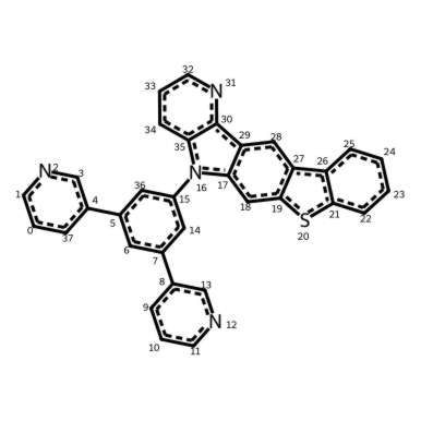 c1cncc(-c2cc(-c3cccnc3)cc(-n3c4cc5sc6ccccc6c5cc4c4ncccc43)c2)c1